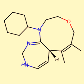 C/C1=C(\C)[C@@H]2C=CNCN=C2N(C2CCCCC2)CCOC1